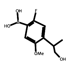 COc1cc(B(O)O)c(F)cc1C(C)CO